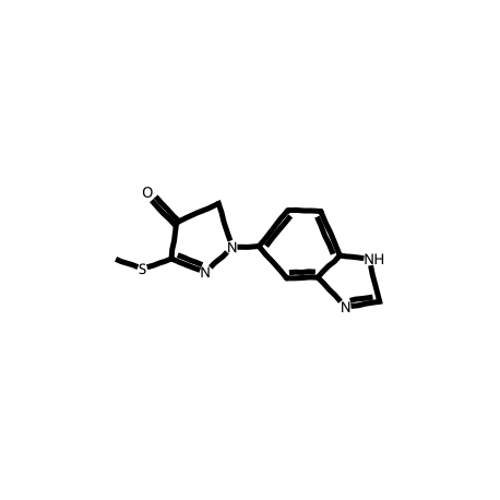 CSC1=NN(c2ccc3[nH]cnc3c2)CC1=O